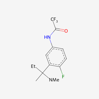 CCC(C)(NC)c1cc(NC(=O)C(F)(F)F)ccc1F